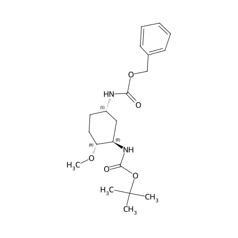 CO[C@@H]1CC[C@H](NC(=O)OCc2ccccc2)C[C@H]1NC(=O)OC(C)(C)C